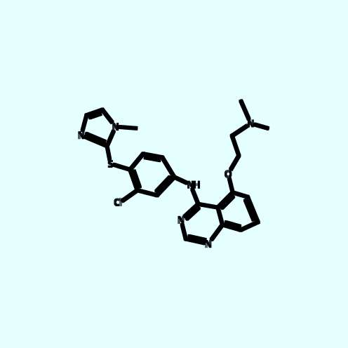 CN(C)CCOc1cccc2ncnc(Nc3ccc(Sc4nccn4C)c(Cl)c3)c12